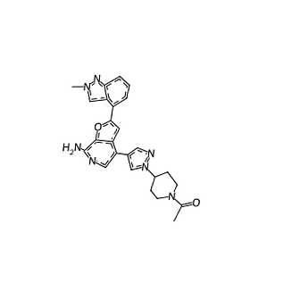 CC(=O)N1CCC(n2cc(-c3cnc(N)c4oc(-c5cccc6nn(C)cc56)cc34)cn2)CC1